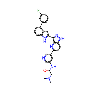 CN(C)CC(=O)Nc1cncc(-c2ccc3[nH]nc(-c4cc5c(-c6cccc(F)c6)cccc5[nH]4)c3n2)c1